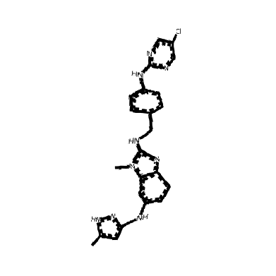 Cc1cc(Nc2ccc3nc(NCc4ccc(Nc5ncc(Cl)cn5)cc4)n(C)c3c2)n[nH]1